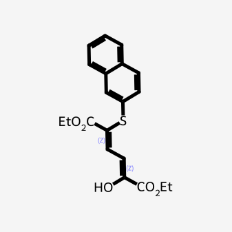 CCOC(=O)/C(O)=C/C=C(\Sc1ccc2ccccc2c1)C(=O)OCC